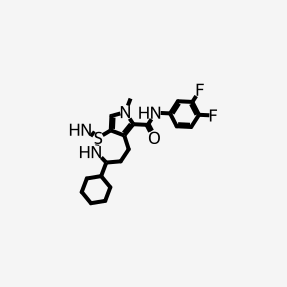 Cn1cc2c(c1C(=O)Nc1ccc(F)c(F)c1)CCC(C1CCCCC1)NS2=N